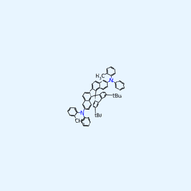 Cc1ccccc1N(c1ccccc1)c1ccc2c3c(ccc2c1)-c1ccc2cc(N(c4ccccc4)c4ccccc4C)ccc2c1C31c2ccc(C(C)(C)C)cc2-c2cc(C(C)(C)C)ccc21